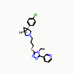 CCn1c(SCCCN2C[C@@H]3C[C@@]3(c3ccc(Br)cc3)C2)nnc1-c1cccnc1